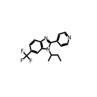 CCC(C)n1c(-c2ccncc2)nc2ccc(C(F)(F)F)cc21